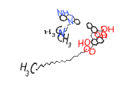 CCCCCCCCCCCCCCCCCCOC(=O)c1cc2ccccc2c(Cc2c(O)c(C(=O)O)cc3ccccc23)c1O.CN(C)CCCN1c2ccccc2CCc2ccccc21.N